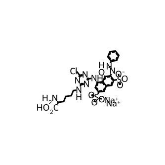 NC(CCCCNc1nc(Cl)nc(Nc2cc(S(=O)(=O)[O-])cc3cc(S(=O)(=O)[O-])c(N=Nc4ccccc4)c(O)c23)n1)C(=O)O.[Na+].[Na+]